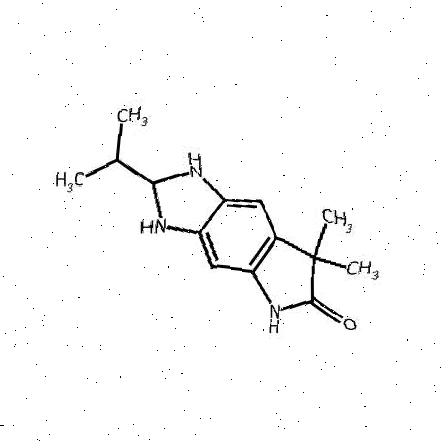 CC(C)C1Nc2cc3c(cc2N1)C(C)(C)C(=O)N3